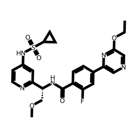 CCOc1cncc(-c2ccc(C(=O)N[C@H](COC)c3cc(NS(=O)(=O)C4CC4)ccn3)c(F)c2)n1